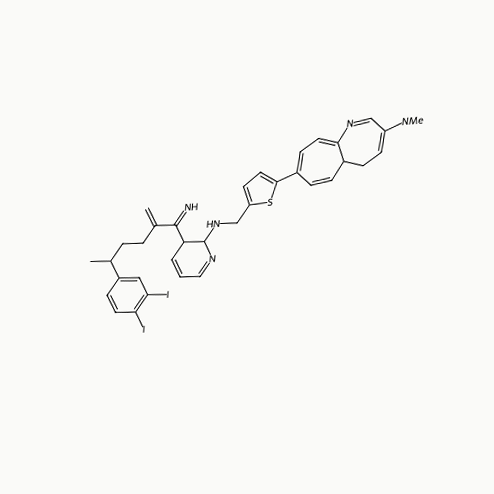 C=C(CCC(C)c1ccc(I)c(I)c1)C(=N)C1C=CC=NC1NCc1ccc(C2=CC=C3N=CC(NC)=CCC3C=C2)s1